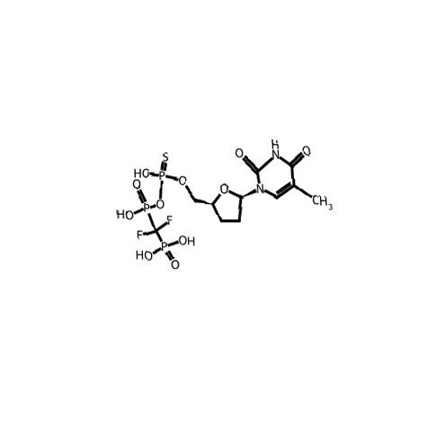 Cc1cn([C@H]2CC[C@@H](COP(O)(=S)OP(=O)(O)C(F)(F)P(=O)(O)O)O2)c(=O)[nH]c1=O